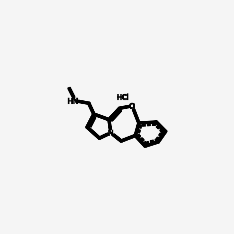 CNCC1=CCN2Cc3ccccc3OC=C12.Cl